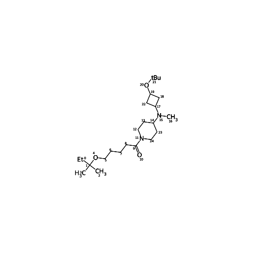 CCC(C)(C)OCCCCC(=O)N1CCC(N(C)C2CC(OC(C)(C)C)C2)CC1